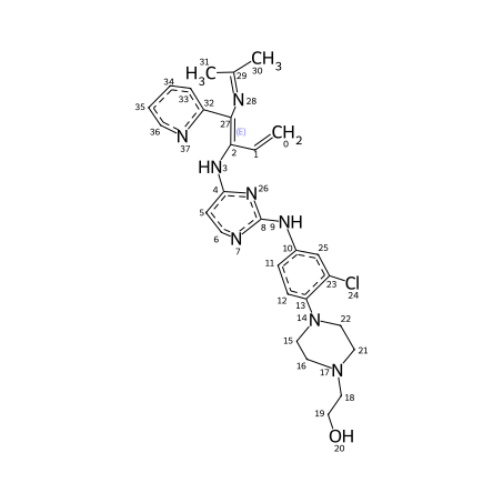 C=C/C(Nc1ccnc(Nc2ccc(N3CCN(CCO)CC3)c(Cl)c2)n1)=C(\N=C(C)C)c1ccccn1